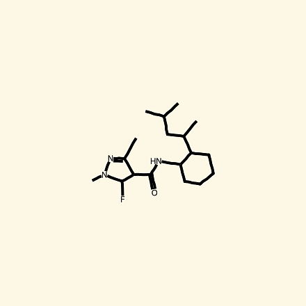 CC1=NN(C)C(F)C1C(=O)NC1CCCCC1C(C)CC(C)C